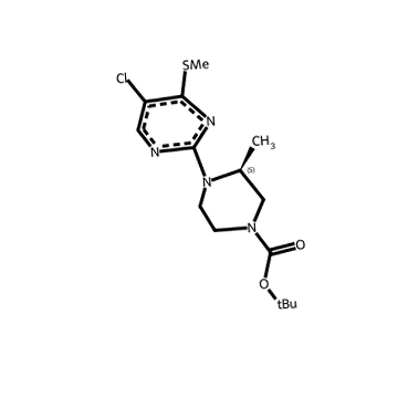 CSc1nc(N2CCN(C(=O)OC(C)(C)C)C[C@@H]2C)ncc1Cl